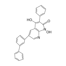 O=c1c(-c2ccccc2)c(O)c2cc(-c3cccc(-c4ccccc4)c3)cnc2n1O